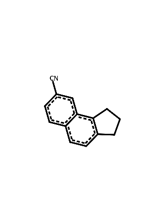 N#Cc1ccc2ccc3c(c2c1)CCC3